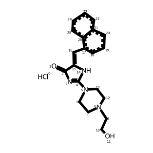 Cl.O=C1N=C(N2CCN(CCO)CC2)N/C1=C\c1cccc2ccccc12